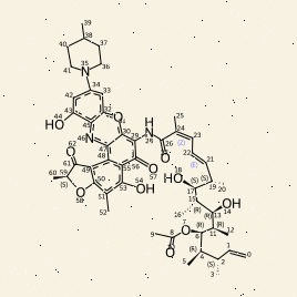 C=C[C@H](C)[C@@H](C)[C@@H](OC(C)=O)[C@H](C)[C@H](O)[C@H](C)[C@@H](O)[C@@H](C)/C=C/C=C(/C)C(=O)Nc1c2oc3cc(N4CCC(C)CC4)cc(O)c3nc-2c2c3c(c(C)c(O)c2c1=O)O[C@@H](C)C3=O